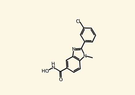 Cn1c(-c2cccc(Cl)c2)nc2cc(C(=O)NO)ccc21